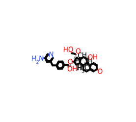 C[C@]12C[C@H](O)[C@H]3[C@@H](CCC4=CC(=O)C=C[C@@]43C)[C@@H]1C[C@@H](O[C@H](O)c1ccc(Cc3cncc(N)c3)cc1)[C@@H]2C(=O)CO